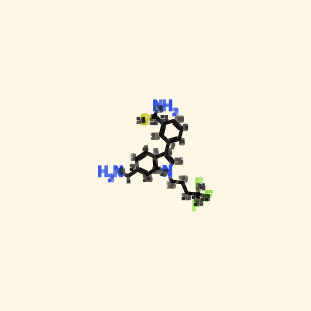 NCc1ccc2c(-c3cccc(C(N)=S)c3)cn(CCCC(F)(F)F)c2c1